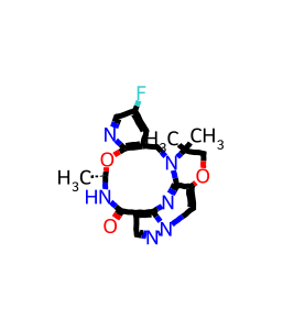 C[C@H]1NC(=O)c2cnn3cc4c(nc23)N(Cc2cc(F)cnc2O1)C(C)(C)CO4